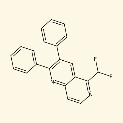 FC(F)c1nccc2nc(-c3ccccc3)c(-c3ccccc3)cc12